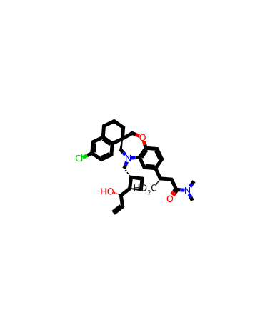 C=C[C@H](O)[C@@H]1CC[C@H]1CN1C[C@@]2(CCCc3cc(Cl)ccc32)COc2ccc([C@H](CC(=O)N(C)C)C(=O)O)cc21